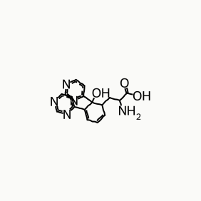 NC(CC1C=CC=C(c2ccncn2)C1(O)c1ccncn1)C(=O)O